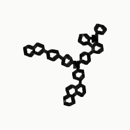 c1ccc(-n2c3ccccc3c3c(-c4ccc(N(c5ccc(-c6ccc(-c7ccc8ccccc8c7)cc6)cc5)c5ccc(-c6cccc7c6ccc6ccccc67)cc5)cc4)cccc32)cc1